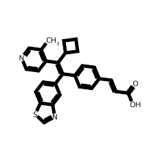 Cc1cnccc1C(=C(c1ccc(C=CC(=O)O)cc1)c1ccc2scnc2c1)C1CCC1